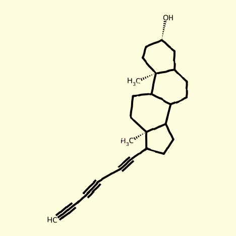 C#CC#CC#CC1CCC2C3CCC4C[C@@H](O)CC[C@]4(C)C3CC[C@]12C